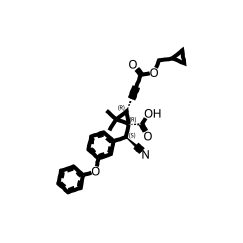 CC1(C)[C@H](C#CC(=O)OCC2CC2)[C@@]1(C(=O)O)[C@@H](C#N)c1cccc(Oc2ccccc2)c1